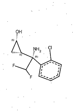 N[C@](c1ccccc1Cl)(C(F)F)[C@@H]1C[C@@H]1O